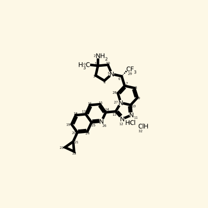 CC1(N)CCN([C@@H](c2ccc3nnc(-c4ccc5ccc(C6CC6)cc5n4)n3c2)C(F)(F)F)C1.Cl.Cl